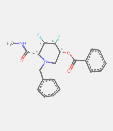 CNC(=O)[C@@H]1[C@@H](F)[C@@H](F)[C@H](OC(=O)c2ccccc2)CN1Cc1ccccc1